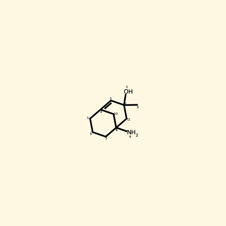 CC1(O)C=C2CCCC(N)(C2)C1